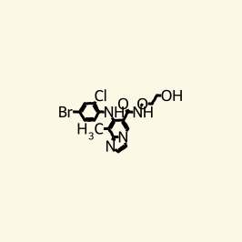 Cc1c(Nc2ccc(Br)cc2Cl)c(C(=O)NOCCO)cn2ccnc12